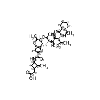 CC(=O)O[C@H](C[C@H](C(C)C)N(C)C(=O)[C@@H](NC(=O)C1CCCCN1C)C(C)C)c1nc(C(=O)NC2CC(CC(=O)O)C2C)cs1